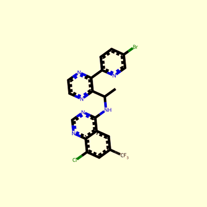 CC(Nc1ncnc2c(Cl)cc(C(F)(F)F)cc12)c1nccnc1-c1ccc(Br)cn1